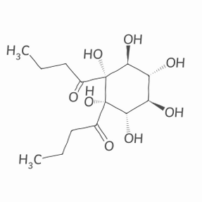 CCCC(=O)[C@@]1(O)[C@@H](O)[C@H](O)[C@@H](O)[C@H](O)[C@@]1(O)C(=O)CCC